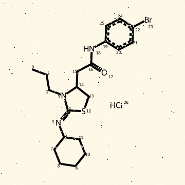 CCCN1C(=NC2CCCCC2)SCC1CC(=O)Nc1ccc(Br)cc1.Cl